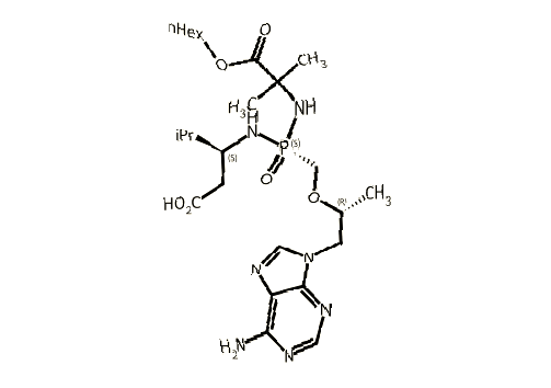 CCCCCCOC(=O)C(C)(C)N[P@](=O)(CO[C@H](C)Cn1cnc2c(N)ncnc21)N[C@@H](CC(=O)O)C(C)C